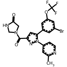 Cc1cc(-n2nc(C(=O)N3CNC(=O)C3)cc2-c2cc(Br)cc(OC(F)(F)F)c2)ccn1